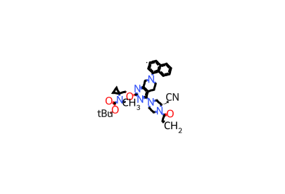 C=CC(=O)N1CCN(c2nc(OCC3(N(C)C(=O)OC(C)(C)C)CC3)nc3c2CCN(c2c[c]cc4ccccc24)C3)C[C@@H]1CC#N